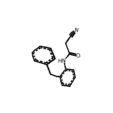 N#CCC(=O)Nc1ccccc1Cc1ccccc1